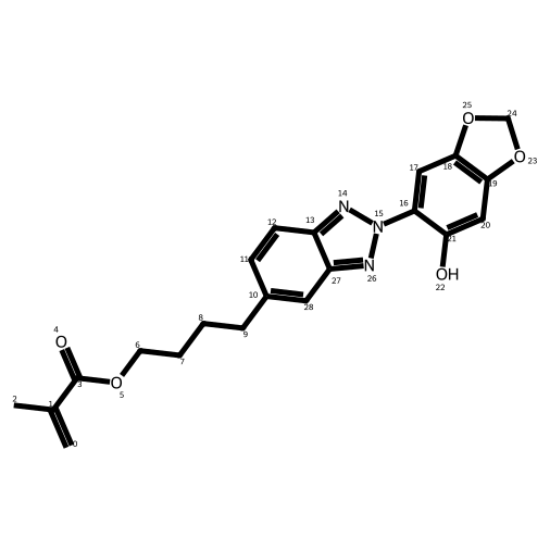 C=C(C)C(=O)OCCCCc1ccc2nn(-c3cc4c(cc3O)OCO4)nc2c1